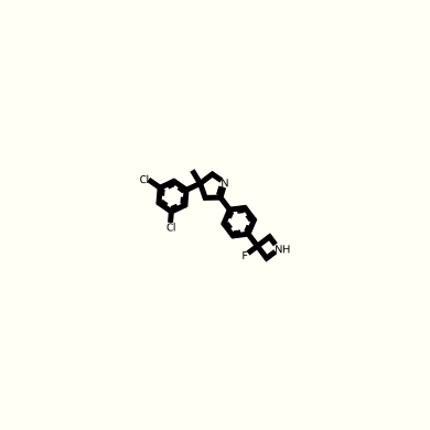 CC1(c2cc(Cl)cc(Cl)c2)CN=C(c2ccc(C3(F)CNC3)cc2)C1